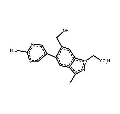 Cc1ncc(-c2cc3c(I)nn(CC(=O)O)c3cc2CO)cn1